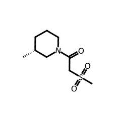 C[C@@H]1CCCN(C(=O)CS(C)(=O)=O)C1